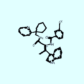 CC(c1c[nH]c2ccccc12)[C@H](NC(=O)c1cccc(C#N)c1)C(=O)NCC1(c2ccccn2)CCCCC1